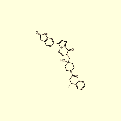 C[C@H](CC(=O)N1CCC(O)(Cn2cnn3c(-c4ccc5c(c4)NC(=O)C5)cnc3c2=O)CC1)c1ccccc1